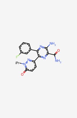 CC(C)n1nc(-c2nc(C(N)=O)c(N)nc2-c2cccc(F)c2)ccc1=O